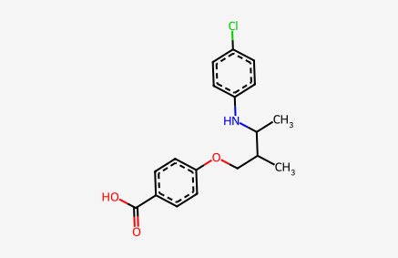 CC(COc1ccc(C(=O)O)cc1)C(C)Nc1ccc(Cl)cc1